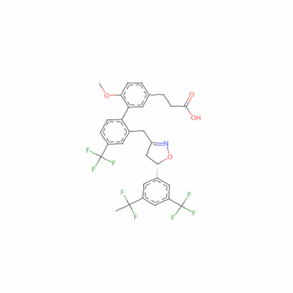 COc1ccc(CCC(=O)O)cc1-c1ccc(C(F)(F)F)cc1CC1=NO[C@H](c2cc(C(C)(F)F)cc(C(F)(F)F)c2)C1